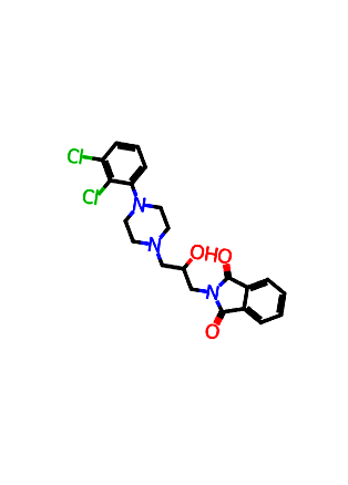 O=C1c2ccccc2C(=O)N1CC(O)CN1CCN(c2cccc(Cl)c2Cl)CC1